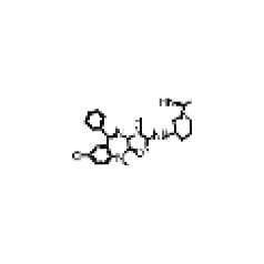 CC(=N)N1CCCC(CNC(=S)NC2N=C(c3ccccc3)c3cc(Cl)ccc3N(C)C2=O)C1